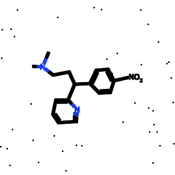 CN(C)CCC(c1ccc([N+](=O)[O-])cc1)c1ccccn1